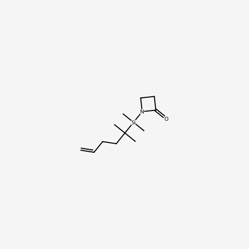 C=CCCC(C)(C)[Si](C)(C)N1CCC1=O